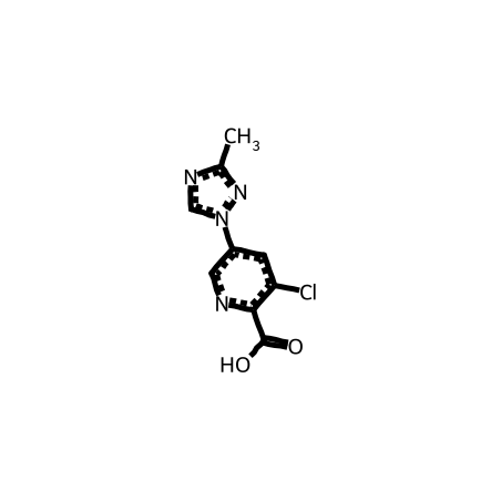 Cc1ncn(-c2cnc(C(=O)O)c(Cl)c2)n1